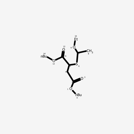 CCCCOC(=O)CC(SC(C)OCC)C(=O)OCCCC